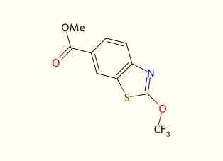 COC(=O)c1ccc2nc(OC(F)(F)F)sc2c1